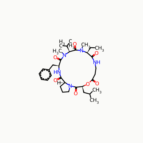 CC[C@H]1C(=O)NCCC(=O)O[C@@H](CC(C)C)C(=O)N2CCC[C@H]2C(=O)N[C@@H](Cc2ccccc2)C(=O)N(C)[C@@H](C(C)C)C(=O)N1C